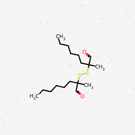 CCCCCCC(C)(C=O)SSC(C)(C=O)CCCCCC